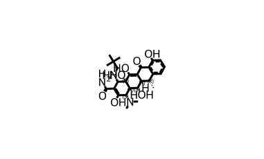 C[C@H]1c2cccc(O)c2C(=O)C2=C(O)[C@]3(O)C(NCC(C)(C)C)C(C(N)=O)=C(O)[C@@H](N(C)C)[C@@H]3[C@@H](O)[C@@H]21